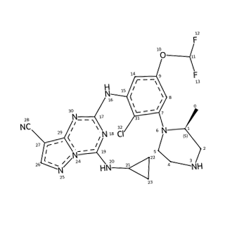 C[C@H]1CNCCN1c1cc(OC(F)F)cc(Nc2nc(NC3CC3)n3ncc(C#N)c3n2)c1Cl